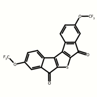 O=c1c2cc(OC(F)(F)F)ccc2c2c1sc1c(=O)c3cc(OC(F)(F)F)ccc3c12